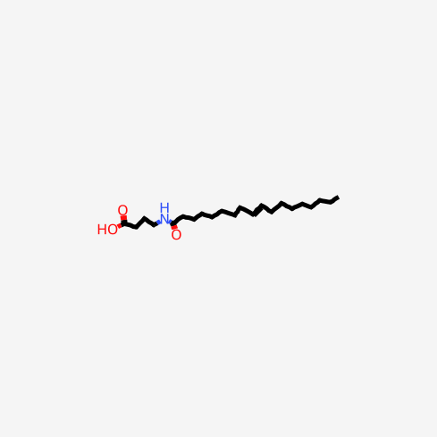 CCCCCCCCC=CCCCCCCCC(=O)NCCCC(=O)O